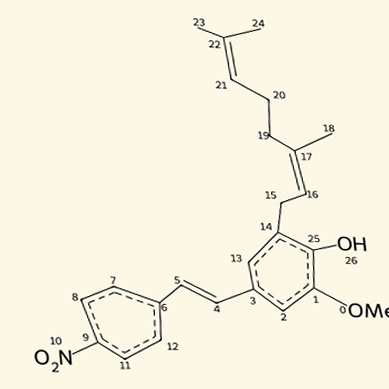 COc1cc(C=Cc2ccc([N+](=O)[O-])cc2)cc(CC=C(C)CCC=C(C)C)c1O